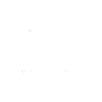 COC(=O)c1c(C)cc(O)c(=O)c(O)c1Br